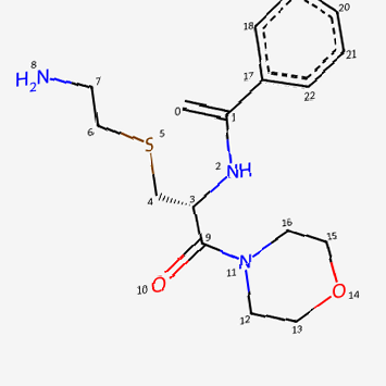 C=C(N[C@@H](CSCCN)C(=O)N1CCOCC1)c1ccccc1